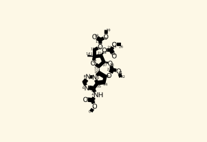 COC(=O)Nc1ncnn2c([C@@H]3O[C@](C)(COC(=O)OC)[C@@H](OC(=O)OC)[C@H]3OC(=O)OC)ccc12